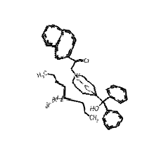 Br.CCCCCCCC.O=C(C[N+]12CCC(C(O)(c3ccccc3)c3ccccc3)(CC1)CC2)c1ccc2ccccc2c1.[Br-]